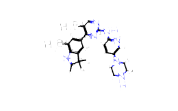 Bc1cnc(Nc2ccc(N3CCNCC3)cn2)nc1-c1cc(B)c2c(c1)C(C)(C)C(C)=N2